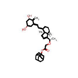 C=C1C(=CC=C2CCC[C@]3(C)C([C@H](C)OCC(=O)OC45CC6CC(CC(C6)C4)C5)=CC[C@@H]23)C[C@@H](O)C[C@@H]1O